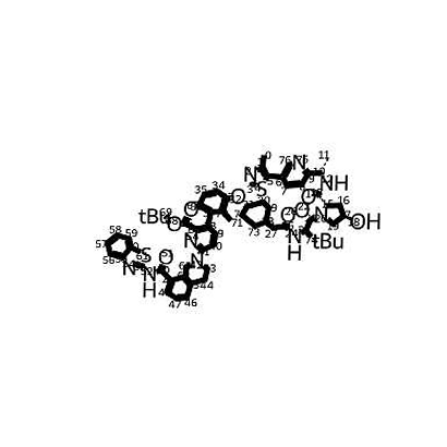 Cc1ncsc1-c1ccc([C@H](C)NC(=O)[C@@H]2C[C@@H](O)CN2C(=O)C(NC(=O)CC2CCC(Oc3cccc(-c4ccc(N5CCc6cccc(C(=O)Nc7nc8ccccc8s7)c6C5)nc4C(=O)OC(C)(C)C)c3C)CC2)C(C)(C)C)nc1